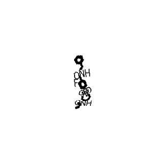 C=CC(=O)NC1CCCN(S(=O)(=O)c2ccc(C(=O)NCCc3ccccc3)c(F)c2)CC1